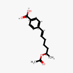 CC(=O)OC(C)CCC/C=C/c1ccc(C(=O)O)cc1